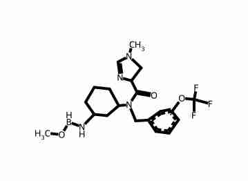 COBNC1CCCC(N(Cc2cccc(OC(F)(F)F)c2)C(=O)C2CN(C)C=N2)C1